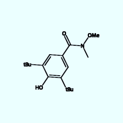 CON(C)C(=O)c1cc(C(C)(C)C)c(O)c(C(C)(C)C)c1